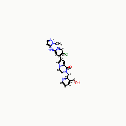 Cn1nccc1Nc1cc(-c2cc3n(c2)CCN(Cc2ncccc2CO)C3=O)c(Cl)cn1